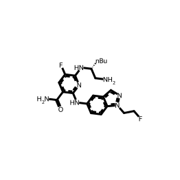 CCCC[C@H](CN)Nc1nc(Nc2ccc3c(cnn3CCF)c2)c(C(N)=O)cc1F